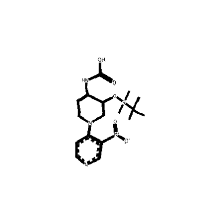 CC(C)(C)[Si](C)(C)OC1CN(c2ccncc2[N+](=O)[O-])CCC1NC(=O)O